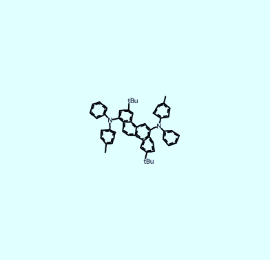 Cc1ccc(N(c2ccccc2)c2cc3c4cc(C(C)(C)C)cc(N(c5ccccc5)c5ccc(C)cc5)c4ccc3c3cc(C(C)(C)C)ccc23)cc1